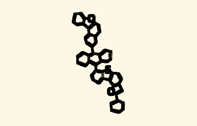 c1ccc(-c2cc3ccc4sc5c(-c6c7ccccc7c(-c7ccc8c(ccc9oc%10ccccc%10c98)c7)c7ccccc67)cccc5c4c3o2)cc1